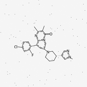 Cc1nc2c(-c3ccc(Cl)cc3F)cc(N3CCC[C@@H](c4cnn(C)c4)C3)cn2c(=O)c1C